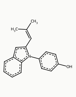 CC(C)=Cc1cc2ccccc2n1-c1ccc(O)cc1